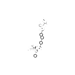 COC(=O)N[C@H](C(=O)N1CCC[C@H]1c1ncc(-c2ccc3cc(-c4ccc(-c5cnc([C@@H]6C[C@H](c7ccccc7)CN6C(=O)[C@@H](NC(=O)OC)C(C)C)[nH]5)cc4)ccc3c2)[nH]1)C(C)C